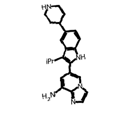 CC(C)c1c(-c2cc(N)c3nccn3c2)[nH]c2ccc(C3CCNCC3)cc12